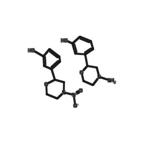 NN1CCOC(c2cccc(O)c2)C1.O=[N+]([O-])N1CCOC(c2cccc(O)c2)C1